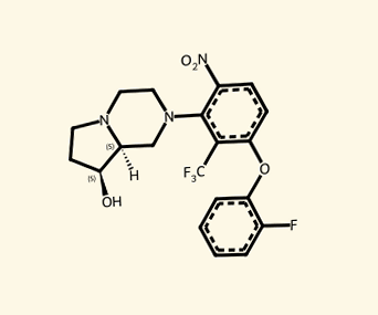 O=[N+]([O-])c1ccc(Oc2ccccc2F)c(C(F)(F)F)c1N1CCN2CC[C@H](O)[C@@H]2C1